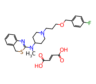 CN(C1=Nc2ccccc2CS1)C1CCN(CCCOCc2ccc(F)cc2)CC1.O=C(O)C=CC(=O)O